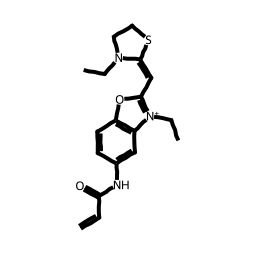 C=CC(=O)Nc1ccc2oc(C=C3SCCN3CC)[n+](CC)c2c1